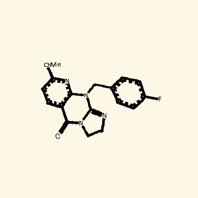 COc1ccc2c(n1)N(Cc1ccc(F)cc1)C1=NCCN1C2=O